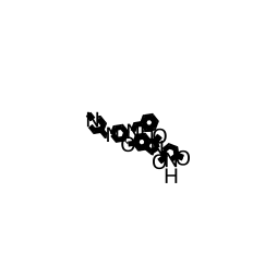 C=N/C=C\C(=C/C)CN1CC[C@@H](NCc2ccccc2)[C@H](Oc2ccc3c(c2)CN(C2CCC(=O)NC2=O)C3=O)C1